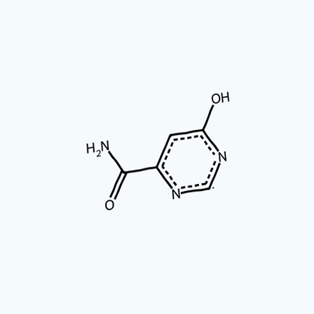 NC(=O)c1cc(O)n[c]n1